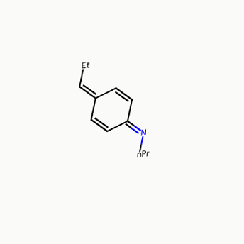 CCC=C1C=CC(=NCCC)C=C1